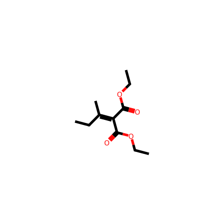 CCOC(=O)C(C(=O)OCC)=C(C)CC